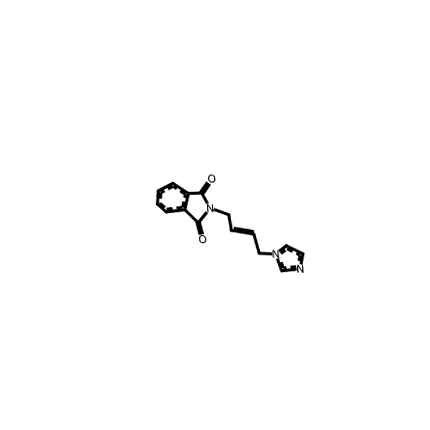 O=C1c2ccccc2C(=O)N1CC=CCn1ccnc1